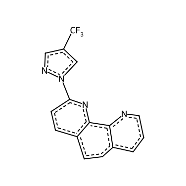 FC(F)(F)c1cnn(-c2ccc3ccc4cccnc4c3n2)c1